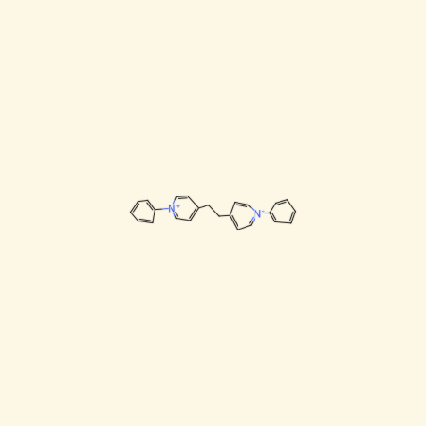 c1ccc(-[n+]2ccc(CCc3cc[n+](-c4ccccc4)cc3)cc2)cc1